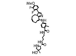 COc1ccc(C2=CN=C3/C(Nc4ccc(C(=O)NCCCNC(=O)[C@@H]5C[C@](C)(O)CN5)c(C)c4)=C/C/C=C\CCC23)c(F)c1F